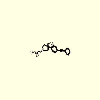 O=C(O)CCN1CCC2(CC1)COc1cc(C#Cc3ccccc3)ccc12